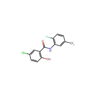 O=C(Nc1cc(C(F)(F)F)ccc1F)c1cc(Cl)ccc1O